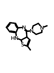 CC1=CC2C(N3CCN(C)CC3)=Nc3ccccc3NC2S1